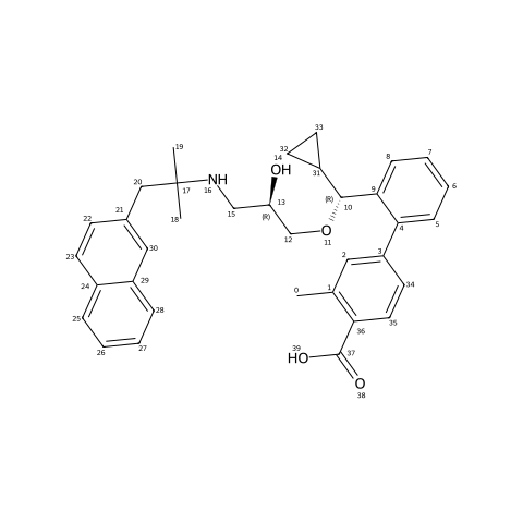 Cc1cc(-c2ccccc2[C@H](OC[C@H](O)CNC(C)(C)Cc2ccc3ccccc3c2)C2CC2)ccc1C(=O)O